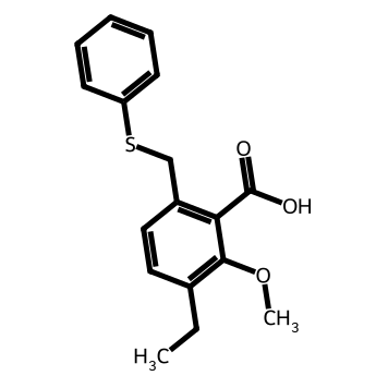 CCc1ccc(CSc2ccccc2)c(C(=O)O)c1OC